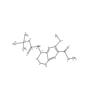 COC(=O)c1cc2c(cc1SCl)C(NC(=O)OC(C)(C)C)CCO2